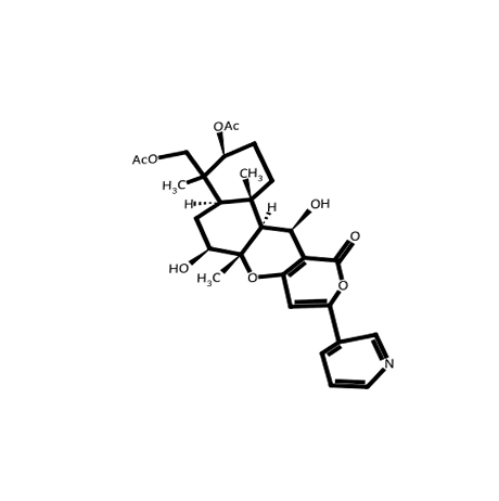 CC(=O)OCC1(C)[C@@H](OC(C)=O)CC[C@]2(C)[C@H]3[C@@H](O)c4c(cc(-c5cccnc5)oc4=O)O[C@]3(C)[C@@H](O)C[C@@H]12